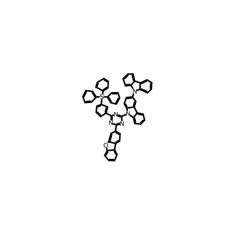 c1ccc([Si](c2ccccc2)(c2ccccc2)c2cccc(-c3nc(-c4ccc5c(c4)oc4ccccc45)nc(-n4c5ccccc5c5cc(-n6c7ccccc7c7ccccc76)ccc54)n3)c2)cc1